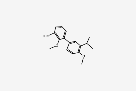 COc1ccc(-c2cccc(N)c2OC)cc1C(C)C